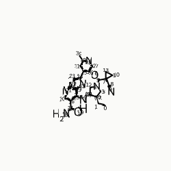 CC[C@@H]1CN(C(=O)C2(C#N)CC2)C[C@H]1Nc1c(C(N)=O)cnn2cc(-c3ccnc(C)c3)nc12